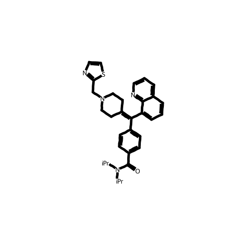 CC(C)N(C(=O)c1ccc(C(=C2CCN(Cc3nccs3)CC2)c2cccc3cccnc23)cc1)C(C)C